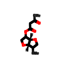 COC(=O)CC(=O)OC1CO[C@@H]2C(OC)CO[C@H]12